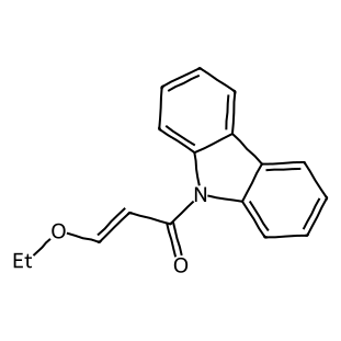 CCOC=CC(=O)n1c2ccccc2c2ccccc21